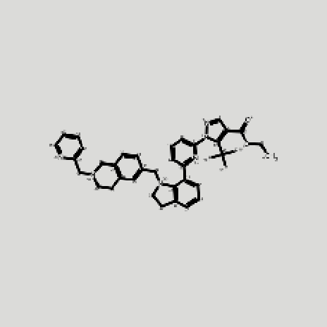 CCOC(=O)c1cnn(-c2cccc(-c3cccc4c3N(Cc3ccc5c(c3)CCN(Cc3ccccn3)C5)CC4)n2)c1C(F)(F)F